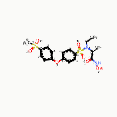 CC(C)CN([C@H](C(=O)NO)C(C)C)S(=O)(=O)c1ccc(Oc2ccc(S(C)(=O)=O)cc2)cc1